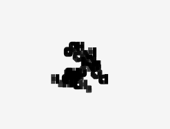 CNC(=O)N(C)C.COCCn1c(Nc2nc3ccc(Cl)cc3s2)nc2cc(C(=O)O)ccc21